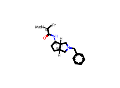 CN[C@H](C(=O)N[C@@H]1CC[C@H]2CN(Cc3ccccc3)C[C@H]21)C(C)C